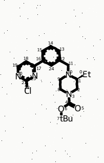 CC[C@H]1CN(C(=O)OC(C)(C)C)CCN1Cc1cccc(-c2ccnc(Cl)n2)c1